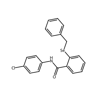 O=C(Nc1ccc(Cl)cc1)c1ccccc1[Se]Cc1ccccc1